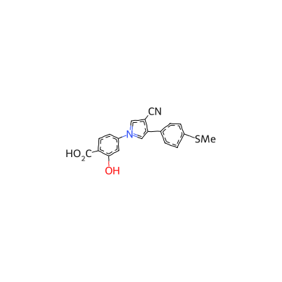 CSc1ccc(-c2cn(-c3ccc(C(=O)O)c(O)c3)cc2C#N)cc1